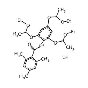 CCOC(C)Oc1cc(OC(C)OCC)c(PC(=O)c2c(C)cc(C)cc2C)c(OC(C)OCC)c1.[LiH]